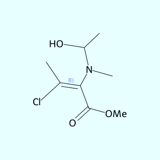 COC(=O)/C(=C(/C)Cl)N(C)C(C)O